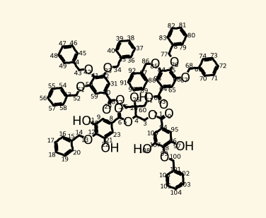 O=C(OCC(OC(=O)c1cc(O)c(OCc2ccccc2)c(O)c1)C(O)(COC(=O)c1cc(OCc2ccccc2)c(OCc2ccccc2)c(OCc2ccccc2)c1)COC(=O)c1cc(OCc2ccccc2)c(OCc2ccccc2)c(OCc2ccccc2)c1)c1cc(O)c(OCc2ccccc2)c(O)c1